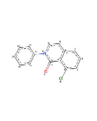 O=c1c2c(Cl)cccc2ccn1-c1ccccc1